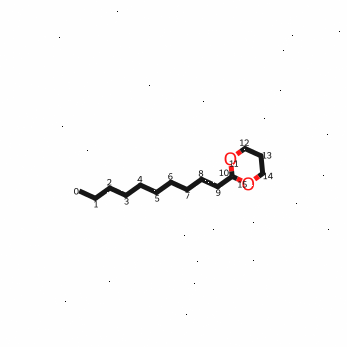 CCCCCCCCCCC1OCCCO1